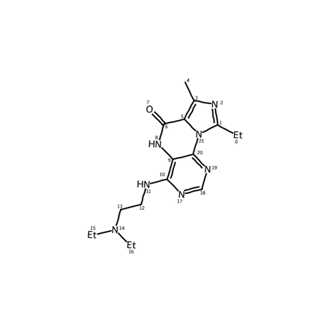 CCc1nc(C)c2c(=O)[nH]c3c(NCCN(CC)CC)ncnc3n12